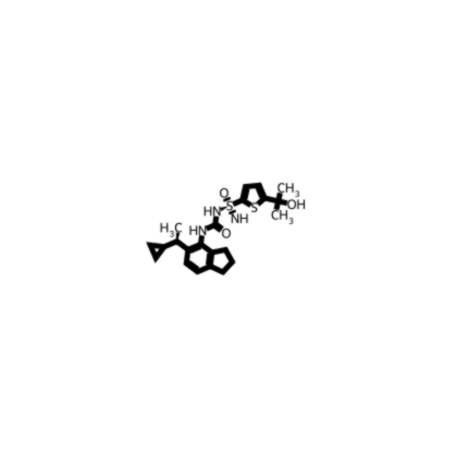 C[C@@H](c1ccc2c(c1NC(=O)N[S@@](=N)(=O)c1ccc(C(C)(C)O)s1)CCC2)C1CC1